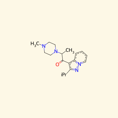 CC(C)c1nn2ccccc2c1C(=O)C(C)N1CCN(C)CC1